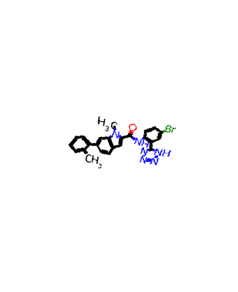 Cc1ccccc1-c1ccc2cc(C(=O)Nc3ccc(Br)cc3-c3nnn[nH]3)n(C)c2c1